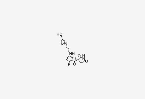 C#Cc1cnn(CCCCNc2ccc(F)c3c2CN(C2CCC(=O)NC2=O)C3=O)c1